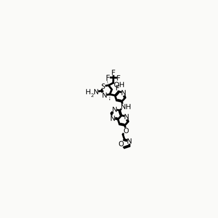 C[C@]1([C@H](O)C(F)(F)F)C[C@@](C)(c2cc(Nc3ncnc4cc(OCc5ncco5)cnc34)cnc2F)N=C(N)S1